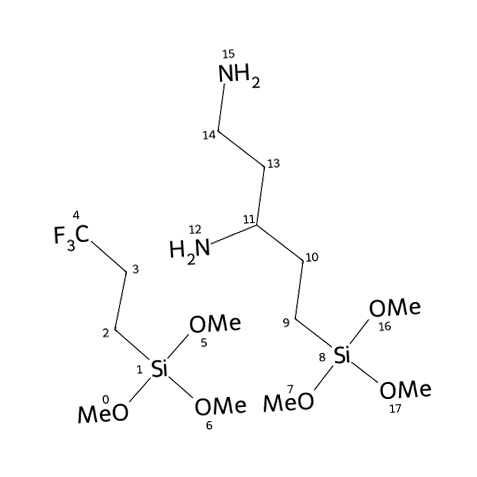 CO[Si](CCC(F)(F)F)(OC)OC.CO[Si](CCC(N)CCN)(OC)OC